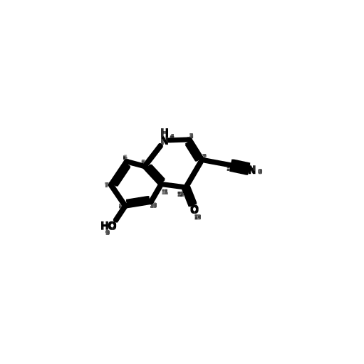 N#Cc1c[nH]c2ccc(O)cc2c1=O